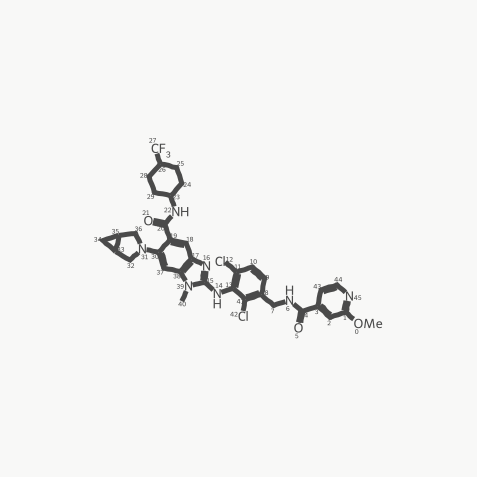 COc1cc(C(=O)NCc2ccc(Cl)c(Nc3nc4cc(C(=O)NC5CCC(C(F)(F)F)CC5)c(N5CC6CC6C5)cc4n3C)c2Cl)ccn1